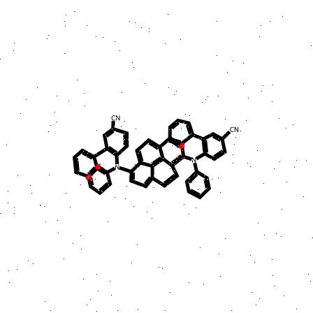 N#Cc1ccc(N(c2ccccc2)c2ccc3ccc4c(N(c5ccccc5)c5ccc(C#N)cc5-c5ccccc5)ccc5ccc2c3c54)c(-c2ccccc2)c1